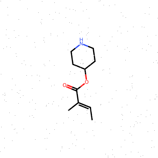 CC=C(C)C(=O)OC1CCNCC1